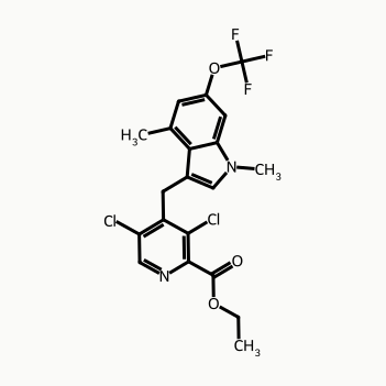 CCOC(=O)c1ncc(Cl)c(Cc2cn(C)c3cc(OC(F)(F)F)cc(C)c23)c1Cl